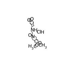 COc1cc2c(cc1OC)CCN(C(=O)CCNCC1Cc3cc4c(cc31)OCO4)CC2.Cl